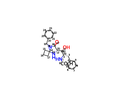 O=C(O)N[C@@H](Cc1ccccc1)[C@@H](O)[C@@H]1NC2(CCC2)N(Cc2ccccc2)C1=O